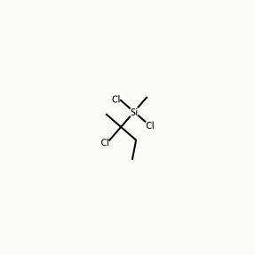 CCC(C)(Cl)[Si](C)(Cl)Cl